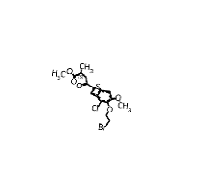 COC(=O)[C@@H](C)CC(=O)c1cc2c(Cl)c(OCCBr)c(OC)cc2s1